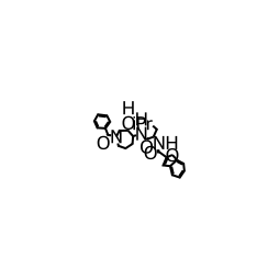 CC(C)CC(NC(=O)c1cc2ccccc2o1)C(=O)NC1CCCN(C(=O)c2ccccc2)CC1O